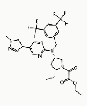 CCOC(=O)C(=O)N1C[C@@H](N(Cc2cc(C(F)(F)F)cc(C(F)(F)F)c2)c2ncc(C3C=NN(C)C3)cn2)C[C@H]1CC